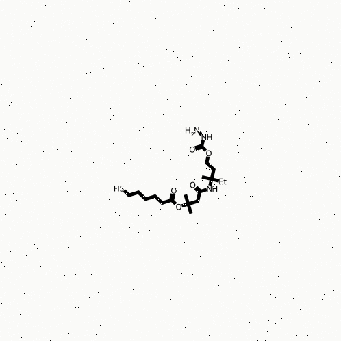 CCC(C)(CCOC(=O)NN)NC(=O)CC(C)(C)OC(=O)CCCCCS